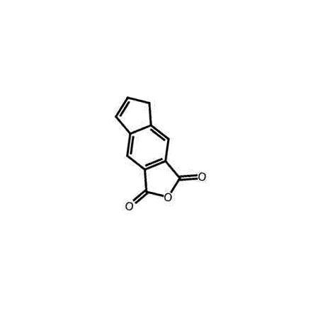 O=C1OC(=O)c2cc3c(cc21)C=CC3